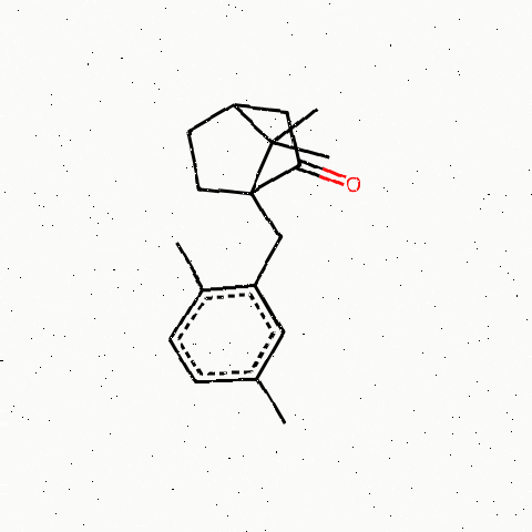 Cc1ccc(C)c(CC23CCC(CC2=O)C3(C)C)c1